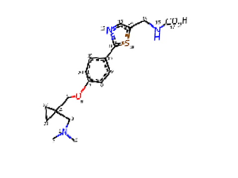 CN(C)CC1(COc2ccc(-c3ncc(CNC(=O)O)s3)cc2)CC1